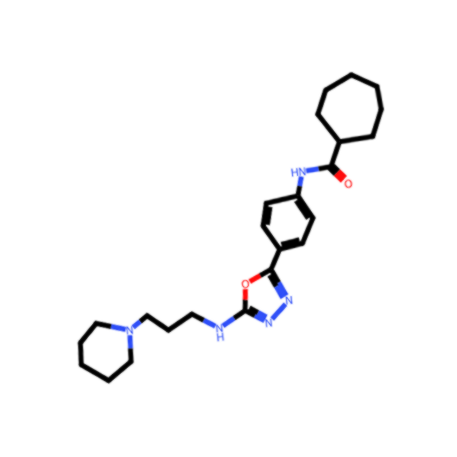 O=C(Nc1ccc(-c2nnc(NCCCN3CCCCC3)o2)cc1)C1CCCCCC1